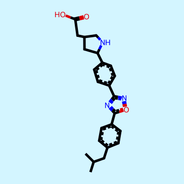 CC(C)Cc1ccc(-c2nc(-c3ccc(C4CC(CC(=O)O)CN4)cc3)no2)cc1